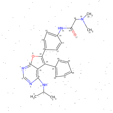 CC(C)Nc1ncnc2oc(-c3ccc(NC(=O)CN(C)C)cc3)c(-c3ccccc3)c12